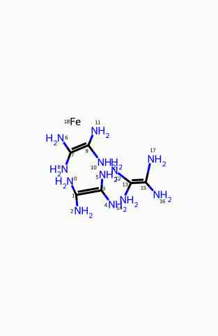 NC(N)=C(N)N.NC(N)=C(N)N.NC(N)=C(N)N.[Fe]